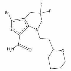 NC(=O)c1sc(Br)c2c1N(CCC1CCCCO1)CC(F)(F)C2